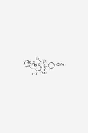 CCC(CC)ON(C([C@H](O)[C@H](Cc1ccccc1)NC(=O)O)C(C)(C)C)S(=O)(=O)c1ccc(OC)cc1